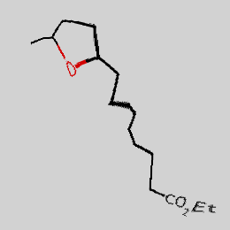 CCOC(=O)CCCCCCC1CCC(C)O1